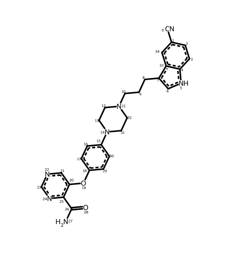 N#Cc1ccc2[nH]cc(CCCN3CCN(c4ccc(Oc5cncnc5C(N)=O)cc4)CC3)c2c1